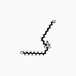 COC(CC/C=C\CCCCCCCCCCCl)OC(CC/C=C\CCCCCCCCCCCl)OC